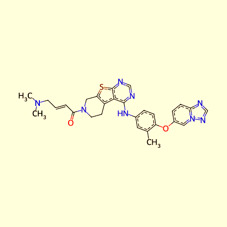 Cc1cc(Nc2ncnc3sc4c(c23)CCN(C(=O)/C=C/CN(C)C)C4)ccc1Oc1ccc2ncnn2c1